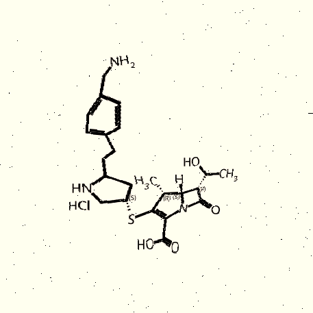 CC(O)[C@@H]1C(=O)N2C(C(=O)O)=C(S[C@@H]3CNC(CCc4ccc(CN)cc4)C3)[C@H](C)[C@H]12.Cl